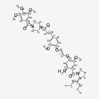 CCSC(SCC)[C@@H]1CCCN1C(=O)c1cc(OC)c(O/C=C/Oc2ccc(/C=C/C(=O)N3CCN(C(=O)c4cc(OC)c(OC)c(OC)c4)CC3)cc2OC)cc1N